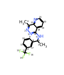 Cc1nnc(NC(C)c2cccc(C(F)(F)F)c2)c2cccnc12